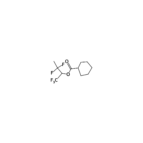 CC(F)(F)C(OC(=O)C1CCCCC1)C(F)(F)F